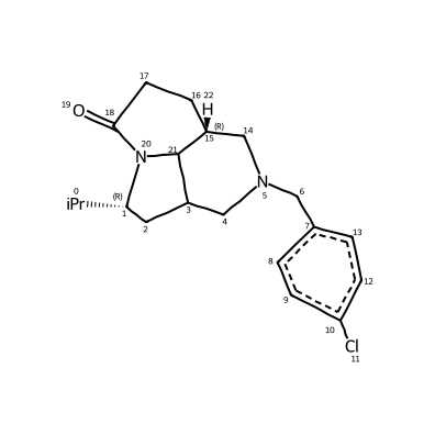 CC(C)[C@H]1CC2CN(Cc3ccc(Cl)cc3)C[C@H]3CCC(=O)N1C23